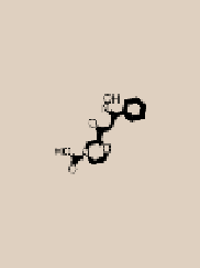 O=C(C/C(=N/O)c1ccccc1)C1CN(C(=O)O)CCO1